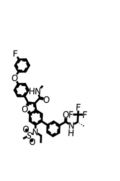 CCN(c1cc2oc(-c3ccc(Oc4cccc(F)c4)cc3)c(C(=O)NC)c2cc1-c1cccc(C(=O)N[C@@H](C)C(F)(F)F)c1)S(C)(=O)=O